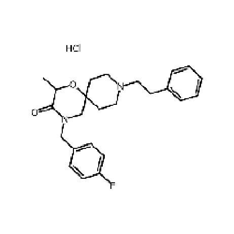 CC1OC2(CCN(CCc3ccccc3)CC2)CN(Cc2ccc(F)cc2)C1=O.Cl